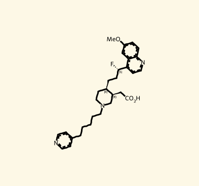 COc1ccc2nccc([C@@H](F)CC[C@@H]3CCN(CCCCCc4ccncc4)C[C@@H]3CC(=O)O)c2c1